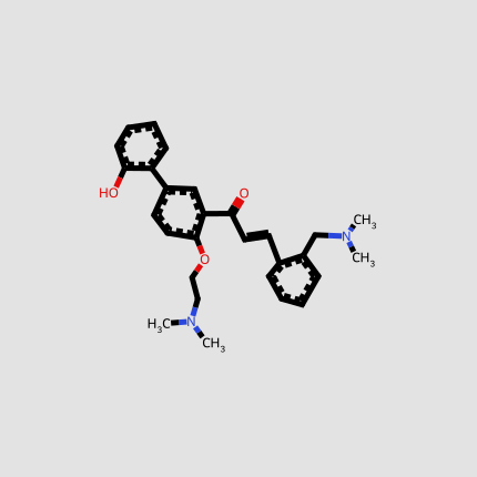 CN(C)CCOc1ccc(-c2ccccc2O)cc1C(=O)C=Cc1ccccc1CN(C)C